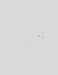 CCOC(=O)Cn1c(C)c(CC2CCCC=C2S(=O)(=O)N2CCOCC2)c2c1CCCCC2